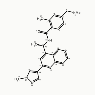 CNCc1ccc(C(=O)N[C@H](C)c2cc(-c3cnn(C)c3)nc3ccccc23)c(C)c1